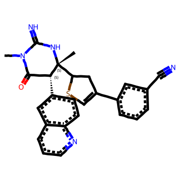 CN1C(=N)N[C@](C)(C2CC(c3cccc(C#N)c3)=CS2)[C@H](c2ccc3ncccc3c2)C1=O